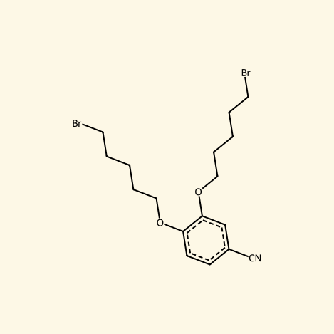 N#Cc1ccc(OCCCCCBr)c(OCCCCCBr)c1